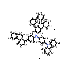 c1ccc(C2(c3ccccc3)c3ccccc3-c3cc(N(c4ccc(-c5cccc6c5ccc5ccccc56)cc4)c4ccc(-n5c6ccccc6c6ccccc65)cc4)ccc32)cc1